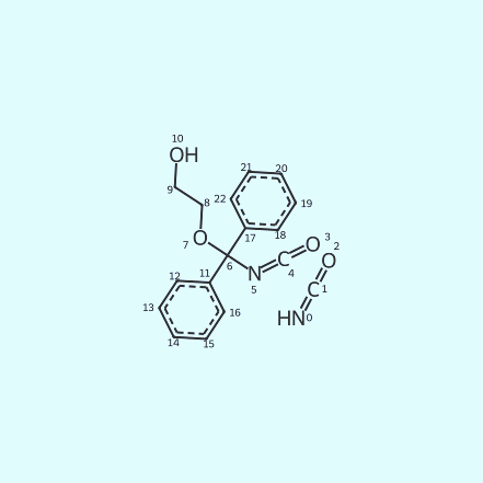 N=C=O.O=C=NC(OCCO)(c1ccccc1)c1ccccc1